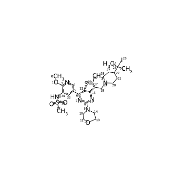 COc1ncc(-c2nc(N3CCOCC3)nc3c(CN4CCC(C(C)(C)I)CC4)c(C)sc23)cc1NS(C)(=O)=O